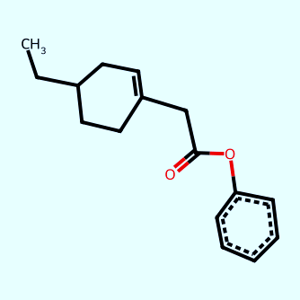 CCC1CC=C(CC(=O)Oc2ccccc2)CC1